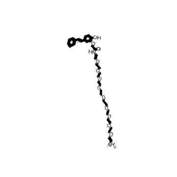 NCCOCCOCCOCCOCCOCCOCCOCCOCCOCCNC(=O)COc1cc(/C=C/c2ccccc2)ccc1O